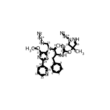 C=C(C(Cc1ccccc1)NC(=O)OC(C)(C=N)CN=[N+]=[N-])N(CN=[N+]=[N-])c1sc(-c2cccnc2)nc1OC